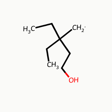 [CH2]C(CC)(CC)CCO